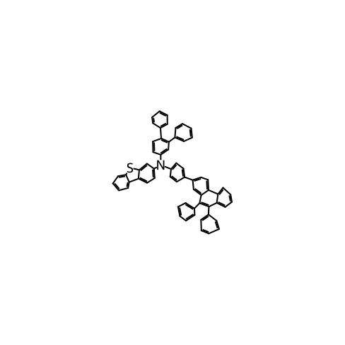 c1ccc(-c2ccc(N(c3ccc(-c4ccc5c(c4)c(-c4ccccc4)c(-c4ccccc4)c4ccccc45)cc3)c3ccc4c(c3)sc3ccccc34)cc2-c2ccccc2)cc1